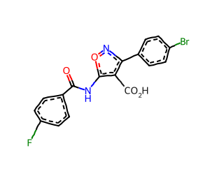 O=C(Nc1onc(-c2ccc(Br)cc2)c1C(=O)O)c1ccc(F)cc1